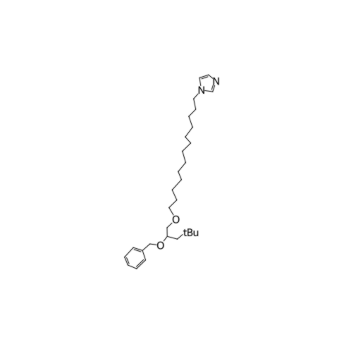 CC(C)(C)CC(COCCCCCCCCCCCCCn1ccnc1)OCc1ccccc1